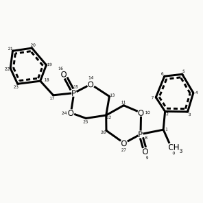 CC(c1ccccc1)P1(=O)OCC2(COP(=O)(Cc3ccccc3)OC2)CO1